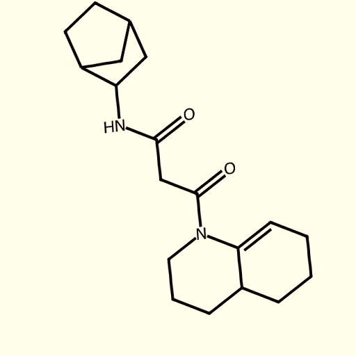 O=C(CC(=O)N1CCCC2CCCC=C21)NC1CC2CCC1C2